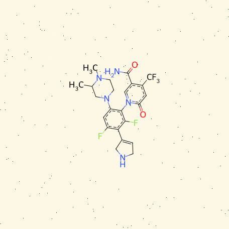 CC1CN(c2cc(F)c(C3=CCNC3)c(F)c2-n2cc(C(N)=O)c(C(F)(F)F)cc2=O)CCN1C